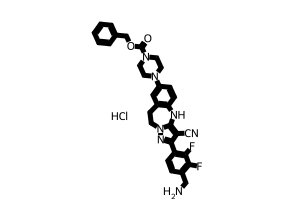 Cl.N#Cc1c(-c2ccc(CN)c(F)c2F)nn2c1Nc1ccc(N3CCN(C(=O)OCc4ccccc4)CC3)cc1CC2